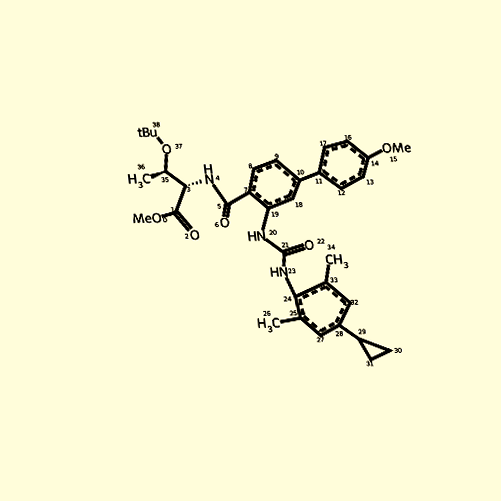 COC(=O)[C@@H](NC(=O)c1ccc(-c2ccc(OC)cc2)cc1NC(=O)Nc1c(C)cc(C2CC2)cc1C)[C@@H](C)OC(C)(C)C